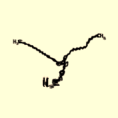 CCCCCCCCCCCCCCCCCCCCCOc1cc(OCCCCCCCCCCCCCCCCCCCCC)cc(C(=O)/C=C/c2ccc(SCCCC)cc2)c1